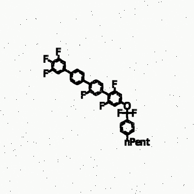 CCCCCc1ccc(C(F)(F)Oc2cc(F)c(-c3ccc(-c4ccc(-c5cc(F)c(F)c(F)c5)cc4)c(F)c3)c(F)c2)cc1